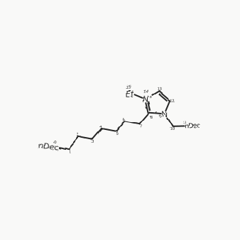 CCCCCCCCCCCCCCCCCc1n(CCCCCCCCCCC)cc[n+]1CC